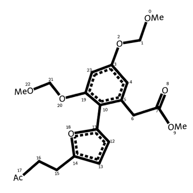 COCOc1cc(CC(=O)OC)c(-c2ccc(CCC(C)=O)o2)c(OCOC)c1